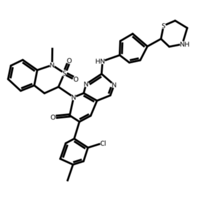 Cc1ccc(-c2cc3cnc(Nc4ccc(C5CNCCS5)cc4)nc3n(C3Cc4ccccc4N(C)S3(=O)=O)c2=O)c(Cl)c1